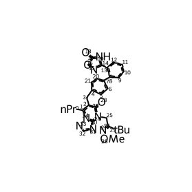 CCCc1c(Cc2ccc(-c3ccccc3-c3noc(=O)[nH]3)cc2)c(=O)n(CC(=NOC)C(C)(C)C)c2ncnn12